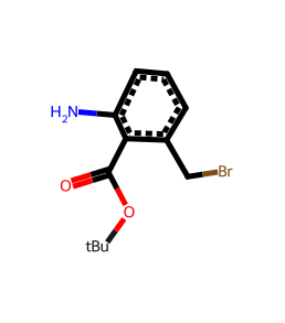 CC(C)(C)OC(=O)c1c(N)cccc1CBr